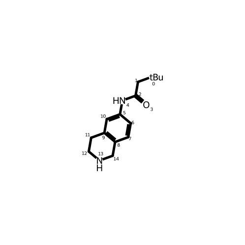 CC(C)(C)CC(=O)Nc1ccc2c(c1)CCNC2